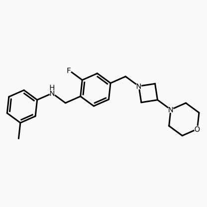 Cc1cccc(NCc2ccc(CN3CC(N4CCOCC4)C3)cc2F)c1